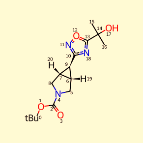 CC(C)(C)OC(=O)N1C[C@@H]2[C@H](C1)[C@H]2c1noc(C(C)(C)O)n1